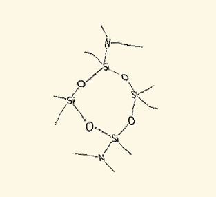 CN(C)[Si]1(C)O[Si](C)(C)O[Si](C)(N(C)C)O[Si](C)(C)O1